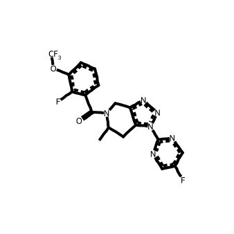 CC1Cc2c(nnn2-c2ncc(F)cn2)CN1C(=O)c1cccc(OC(F)(F)F)c1F